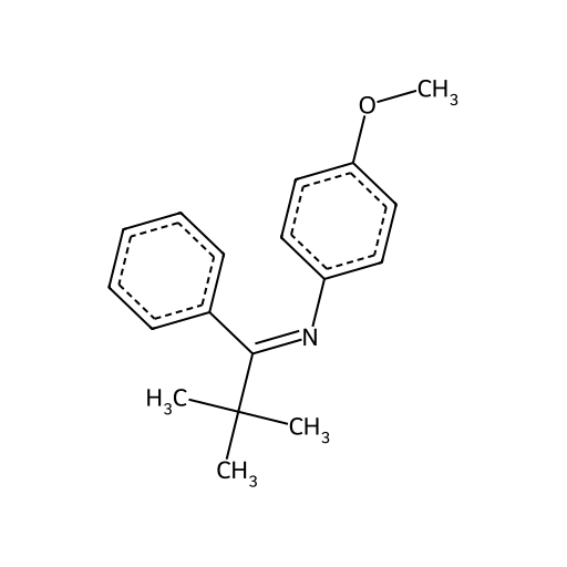 COc1ccc(N=C(c2ccccc2)C(C)(C)C)cc1